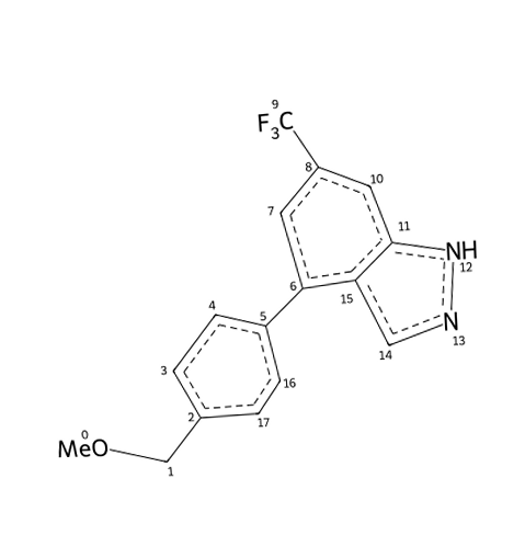 COCc1ccc(-c2cc(C(F)(F)F)cc3[nH]ncc23)cc1